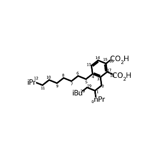 CCCC(Cc1c(CCCCCCCC(C)C)ccc(C(=O)O)c1C(=O)O)CC(C)CC